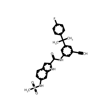 C#Cc1cc(NC(=O)c2cc3ccc(NS(C)(=O)=O)cc3[nH]2)cc(C(C)(C)c2ccc(F)cc2)c1